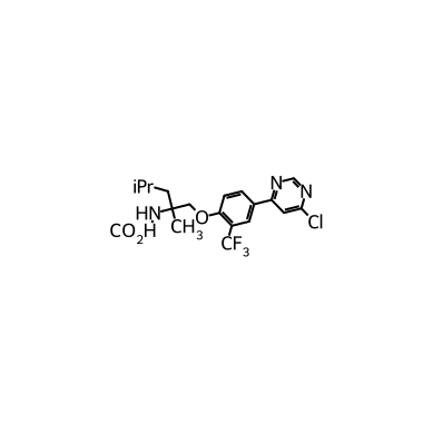 CC(C)CC(C)(COc1ccc(-c2cc(Cl)ncn2)cc1C(F)(F)F)NC(=O)O